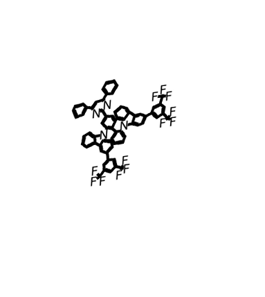 FC(F)(F)c1cc(-c2ccc3c(c2)c2ccccc2n3-c2ccccc2-c2ccc(-c3nc(-c4ccccc4)cc(-c4ccccc4)n3)cc2-n2c3ccccc3c3cc(-c4cc(C(F)(F)F)cc(C(F)(F)F)c4)ccc32)cc(C(F)(F)F)c1